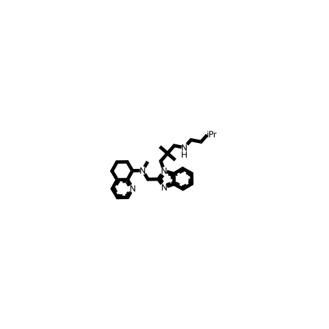 CC(C)CCNCC(C)(C)Cn1c(CN(C)C2CCCc3cccnc32)nc2ccccc21